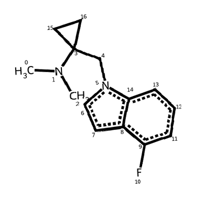 CN(C)C1(Cn2ccc3c(F)cccc32)CC1